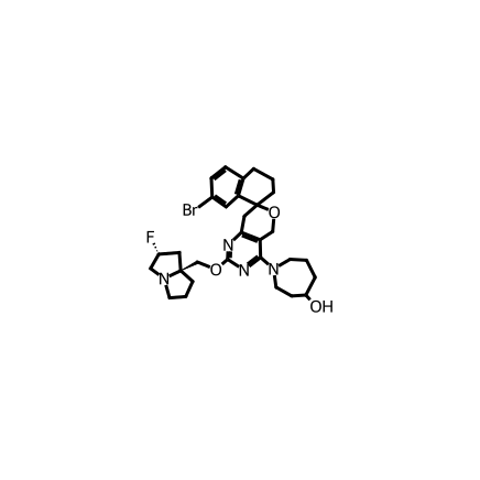 OC1CCCN(c2nc(OC[C@@]34CCCN3C[C@H](F)C4)nc3c2COC2(CCCc4ccc(Br)cc42)C3)CC1